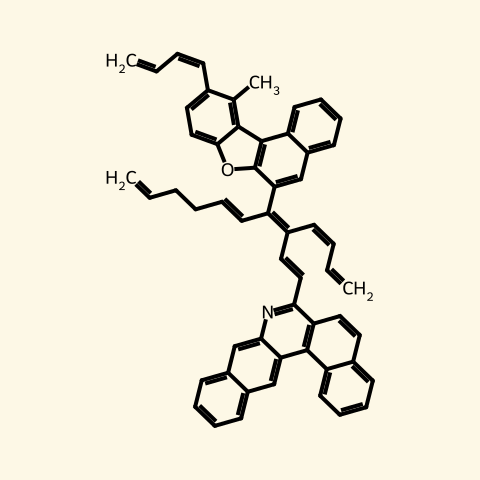 C=C\C=C/C(/C=C/c1nc2cc3ccccc3cc2c2c1ccc1ccccc12)=C(/C=C/CCC=C)c1cc2ccccc2c2c1oc1ccc(/C=C\C=C)c(C)c12